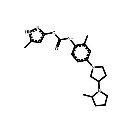 Cc1cc(OC(=O)Nc2ccc(N3CCC(N4CCCC4C)C3)cc2C)n[nH]1